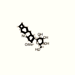 COc1cc(C#N)c(Cc2ccc3c(c2)CC3)cc1[C@@H]1O[C@H](CO)[C@@H](O)[C@H](O)[C@H]1O